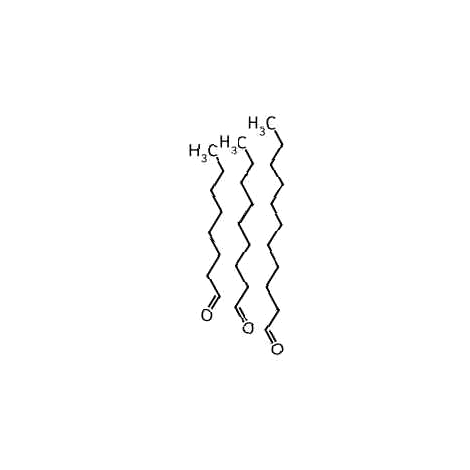 CCCCCCCC=O.CCCCCCCCC=O.CCCCCCCCCCC=O